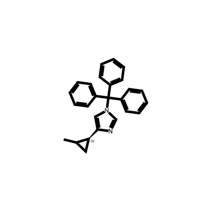 CC1C[C@@H]1c1cn(C(c2ccccc2)(c2ccccc2)c2ccccc2)cn1